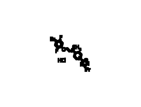 CC(C)c1noc(N2CCC(N(C)CCOc3cc(F)c(Br)cc3F)CC2)n1.Cl